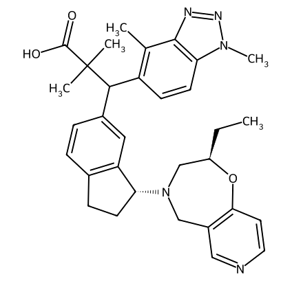 CC[C@@H]1CN([C@@H]2CCc3ccc(C(c4ccc5c(nnn5C)c4C)C(C)(C)C(=O)O)cc32)Cc2cnccc2O1